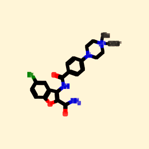 CC(C)(C)[N+]1(C(=O)[O-])CCN(c2ccc(C(=O)Nc3c(C(N)=O)oc4ccc(Br)cc34)cc2)CC1